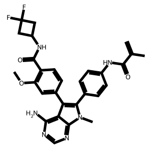 C=C(C)C(=O)Nc1ccc(-c2c(-c3ccc(C(=O)NC4CC(F)(F)C4)c(OC)c3)c3c(N)ncnc3n2C)cc1